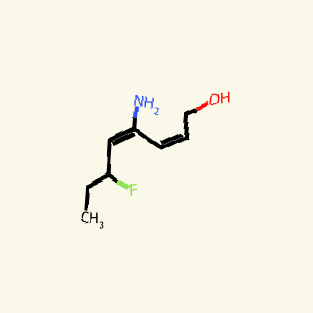 CCC(F)/C=C(N)\C=C/CO